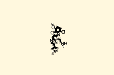 CNCCn1/c(=N/c2c(Cl)ccc(OC)c2Cl)ccc2ncc(-c3cnn(C)c3)nc21